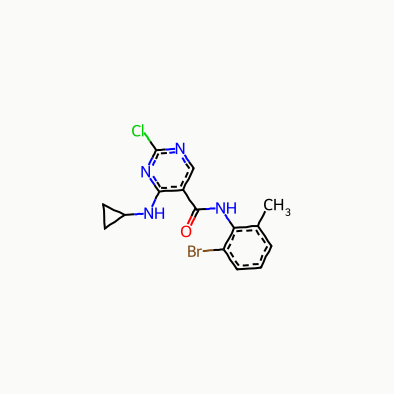 Cc1cccc(Br)c1NC(=O)c1cnc(Cl)nc1NC1CC1